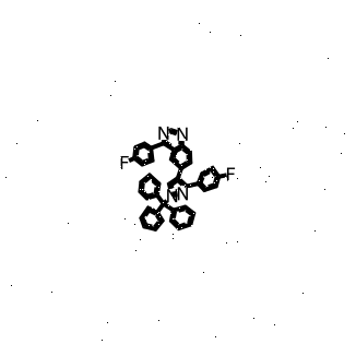 Fc1ccc(-c2nn(C(c3ccccc3)(c3ccccc3)c3ccccc3)cc2-c2ccc3ncnc(-c4ccc(F)cc4)c3c2)cc1